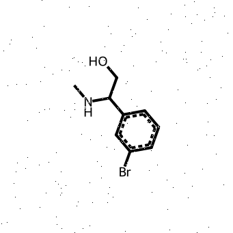 CNC(CO)c1cccc(Br)c1